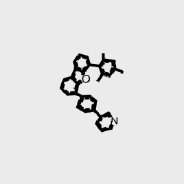 Cc1cc(C)c(-c2cccc3c2oc2c(-c4ccc(-c5cccnc5)cc4)cccc23)c(C)c1